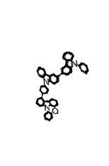 c1ccc(-n2c3ccccc3c3cc(-c4ccc5c(c4)c4ccccc4n5-c4ccc(-c5cccc6c5c5cccc7c5n6-c5ccccc5O7)cc4)ccc32)cc1